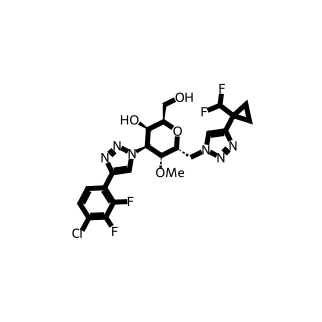 CO[C@@H]1[C@@H](n2cc(-c3ccc(Cl)c(F)c3F)nn2)[C@@H](O)[C@@H](CO)O[C@@H]1Cn1cc(C2(C(F)F)CC2)nn1